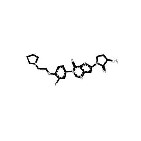 CC1CCN(c2cc3ncn(-c4ccc(OCCN5CCCC5)c(F)c4)c(=O)c3s2)C1=O